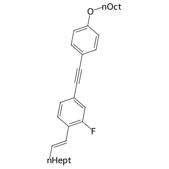 CCCCCCCC=Cc1ccc(C#Cc2ccc(OCCCCCCCC)cc2)cc1F